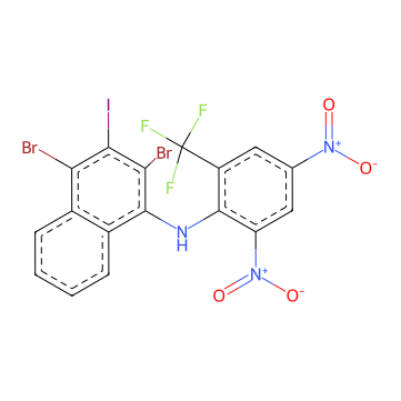 O=[N+]([O-])c1cc([N+](=O)[O-])c(Nc2c(Br)c(I)c(Br)c3ccccc23)c(C(F)(F)F)c1